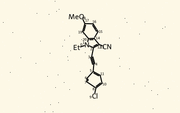 CCn1c(C#Cc2ccc(Cl)cc2)c(C#N)c2ccc(OC)cc21